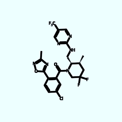 Cc1noc(-c2ccc(Cl)cc2C(=O)N2CC(F)(F)C[C@@H](C)[C@H]2CNc2ncc(C(F)(F)F)cn2)n1